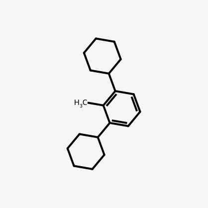 Cc1c(C2CCCCC2)cccc1C1CCCCC1